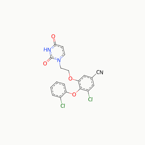 N#Cc1cc(Cl)c(Oc2ccccc2Cl)c(OCCn2ccc(=O)[nH]c2=O)c1